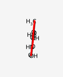 CCCCCCCCCCCCCCCCOC(=O)CCNC(=O)CCC(=O)NCCCCCCCCCCCC(=O)NCCCCCCCCCCCC(=O)O